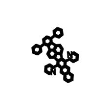 c1ccc(-c2ccc(-c3ccccc3)c3c2-c2ccc4c5c(ccc-3c25)-c2c-4c(-c3ccccn3)c3cc4ccccc4cc3c2-c2ccccn2)cc1